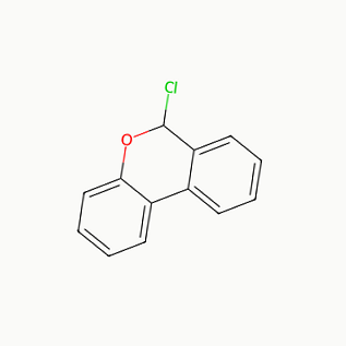 ClC1Oc2ccccc2-c2ccccc21